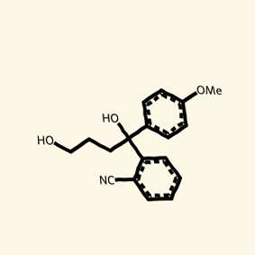 COc1ccc(C(O)(CCCO)c2ccccc2C#N)cc1